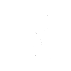 CC(C)CCn1c(=O)c(=O)n(-c2ccccc2)c2cnc(Nc3ccc4c(c3)CC(=O)N4)nc21